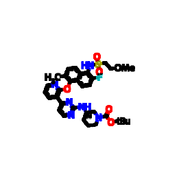 COCCS(=O)(=O)Nc1c(F)ccc2c(Oc3ncccc3-c3ccnc(N[C@H]4CCCN(C(=O)OC(C)(C)C)C4)n3)c(C)ccc12